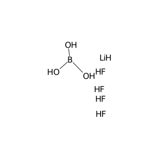 F.F.F.F.OB(O)O.[LiH]